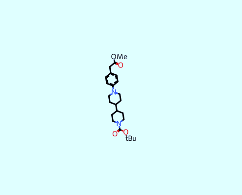 COC(=O)Cc1ccc(N2CCC(C3CCN(C(=O)OC(C)(C)C)CC3)CC2)cc1